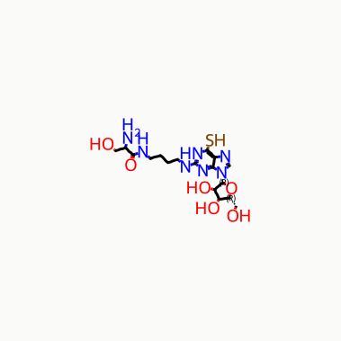 NC(CO)C(=O)NCCCCNc1nc(S)c2ncn([C@@H]3O[C@H](CO)C(O)C3O)c2n1